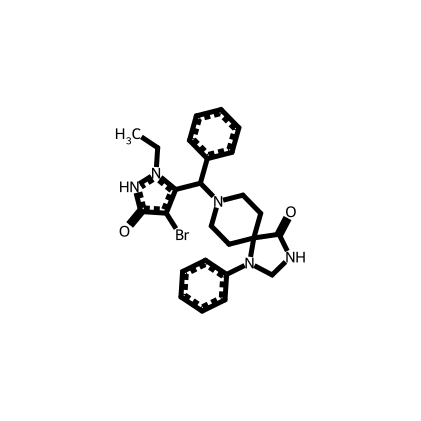 CCn1[nH]c(=O)c(Br)c1C(c1ccccc1)N1CCC2(CC1)C(=O)NCN2c1ccccc1